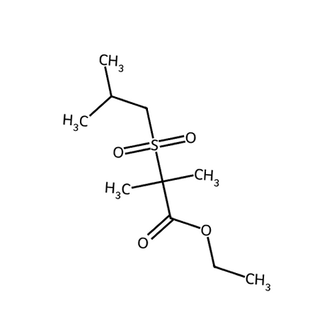 CCOC(=O)C(C)(C)S(=O)(=O)CC(C)C